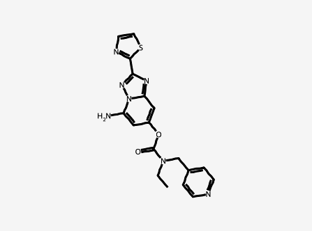 CCN(Cc1ccncc1)C(=O)Oc1cc(N)n2nc(-c3nccs3)nc2c1